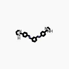 C(=C\c1cccc(/C=C/c2ccc(C3=NCCN3)cc2)c1)/c1ccc(C2=NCCCN2)cc1